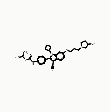 CC(C)OC(=O)Nc1ccc(-c2c(C#N)c3ccc(OCCCN4CCC(O)C4)cc3n2C2CCC2)cc1